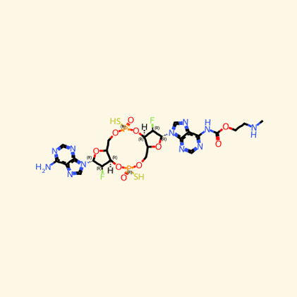 CNCCOC(=O)Nc1ncnc2c1ncn2[C@@H]1OC2CO[P@@](=O)(S)O[C@@H]3C(CO[P@@](=O)(S)O[C@H]2[C@H]1F)O[C@@H](n1cnc2c(N)ncnc21)[C@@H]3F